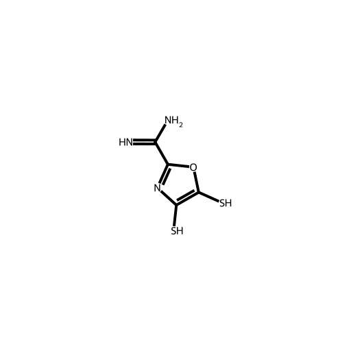 N=C(N)c1nc(S)c(S)o1